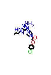 CCCc1nc2c(N3CCN(C(=O)COc4ccc(Cl)cc4)CC3)nc(N)nc2[nH]1